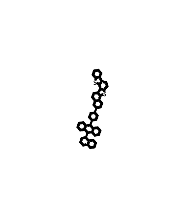 c1ccc2c(-c3c4ccccc4c(-c4ccc(-c5ccc6c(ccc7c6sc6ccc8c9ccccc9sc8c67)c5)cc4)c4ccccc34)cccc2c1